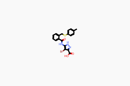 Cc1ccc(SCc2ccccc2C(=O)Nc2[nH]nc(C(=O)O)c2Br)cc1